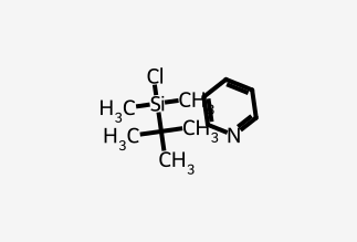 CC(C)(C)[Si](C)(C)Cl.c1ccncc1